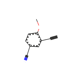 C#Cc1cc(C#N)ccc1OC